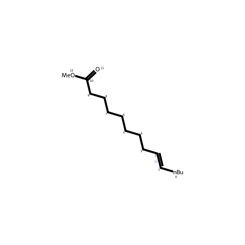 CCCC/C=C/CCCCCCCC(=O)OC